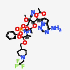 CO[C@](C#N)(COP(=O)(N[C@@H](C)C(=O)OCC1CCN(CC(F)(F)F)CC1)Oc1ccccc1)[C@@H](OC(C)=O)[C@@H](OC(C)=O)c1ccc2c(N)ncnn12